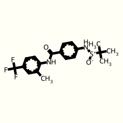 Cc1cc(C(F)(F)F)ccc1NC(=O)c1ccc(N[S+]([O-])C(C)(C)C)cc1